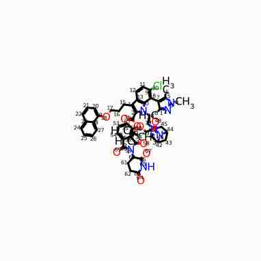 Cc1nn(C)c(C)c1-c1c(Cl)ccc2c(CCCOc3cccc4ccccc34)c(C(=O)OC(C)(C)C)n(CCN3CC4CC(C3)N4C(=O)COc3cccc4c3C(=O)N(C3CCC(=O)NC3=O)C4=O)c12